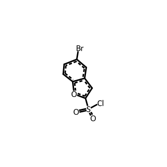 O=S(=O)(Cl)c1cc2cc(Br)ccc2o1